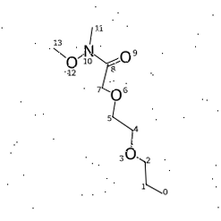 CCCOCCOCC(=O)N(C)OC